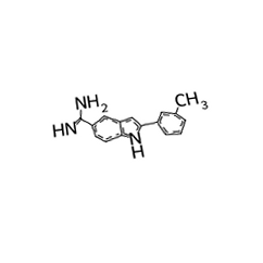 Cc1cccc(-c2cc3cc(C(=N)N)ccc3[nH]2)c1